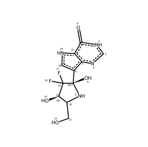 O=c1[nH]cnc2c([C@]3(O)NC(CO)[C@@H](O)C3(F)F)c[nH]c12